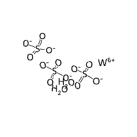 O.O.O=S(=O)([O-])[O-].O=S(=O)([O-])[O-].O=S(=O)([O-])[O-].[W+6]